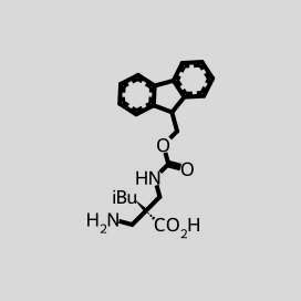 CC[C@H](C)[C@](CN)(CNC(=O)OCC1c2ccccc2-c2ccccc21)C(=O)O